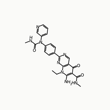 CCn1c(N)c(C(=O)NC)c(=O)c2cnc(-c3ccc(N(C(=O)NC)c4cccnc4)cc3)nc21